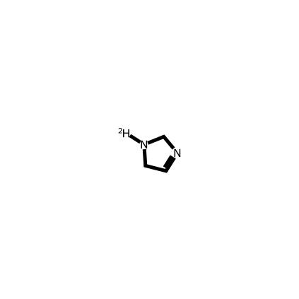 [2H]N1CC=NC1